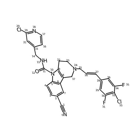 N#Cc1ccc2c(c1)c1c(n2C(=O)NCc2ccnc(Cl)c2)CCN(CC=Cc2cc(F)c(Cl)c(F)c2)C1